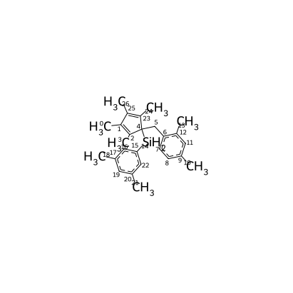 CC1=C(C)C(Cc2ccc(C)cc2C)([SiH2]c2cc(C)cc(C)c2)C(C)=C1C